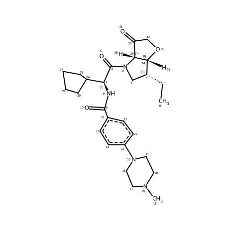 CC[C@@H]1CN(C(=O)[C@@H](NC(=O)c2ccc(N3CCN(C)CC3)cc2)C2CCCC2)[C@@H]2C(=O)CO[C@H]12